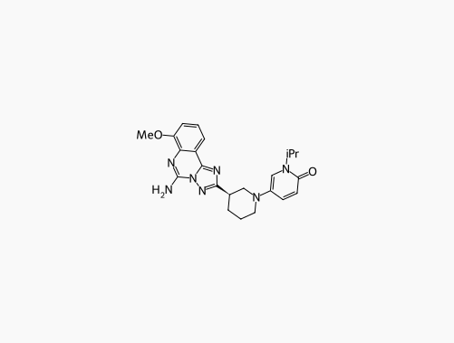 COc1cccc2c1nc(N)n1nc([C@@H]3CCCN(c4ccc(=O)n(C(C)C)c4)C3)nc21